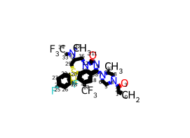 C=CC(=O)N1CCN(c2nc(=O)n3c4c(cc(C(F)(F)F)cc24)[SH](c2ccc(F)cc2F)C[C@@H](N(C)CC(F)(F)F)C3)[C@@H](C)C1